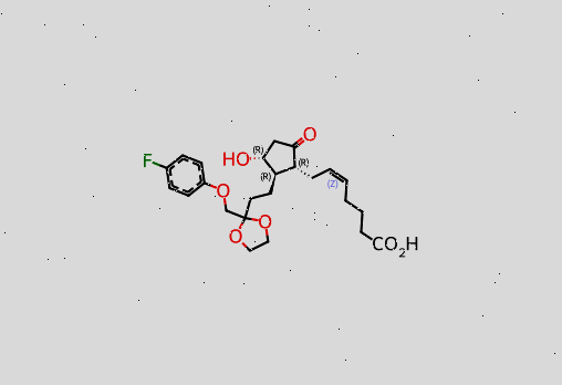 O=C(O)CCC/C=C\C[C@H]1C(=O)C[C@@H](O)[C@@H]1CCC1(COc2ccc(F)cc2)OCCO1